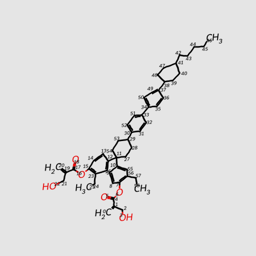 C=C(CO)C(=O)Oc1ccc(C2(c3ccc(OC(=O)C(=C)CO)c(CC)c3)CCC(c3ccc(-c4ccc(C5CCC(CCCCC)CC5)cc4)cc3)CC2)cc1CC